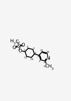 Cc1cc(C2CCC(OS(C)(=O)=O)CC2)ccn1